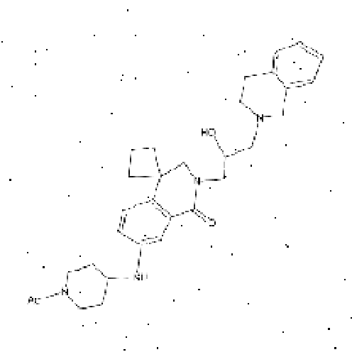 CC(=O)N1CCC(Nc2ccc3c(c2)C(=O)N(CC(O)CN2CCc4ccccc4C2)CC32CCC2)CC1